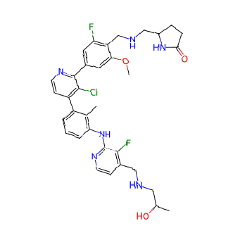 COc1cc(-c2nccc(-c3cccc(Nc4nccc(CNCC(C)O)c4F)c3C)c2Cl)cc(F)c1CNCC1CCC(=O)N1